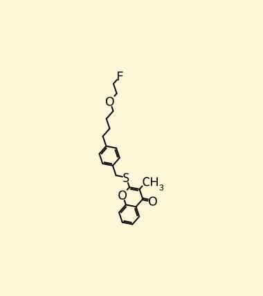 Cc1c(SCc2ccc(CCCCOCCF)cc2)oc2ccccc2c1=O